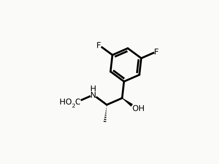 C[C@H](NC(=O)O)[C@H](O)c1cc(F)cc(F)c1